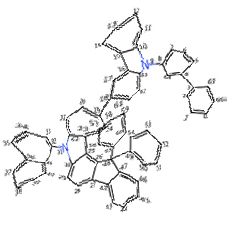 c1ccc(-c2cccc(-n3c4ccccc4c4cc(-c5ccc6c(c5)c5c7c(ccc5n6-c5cccc6ccccc56)-c5ccccc5C7(c5ccccc5)c5ccccc5)ccc43)c2)cc1